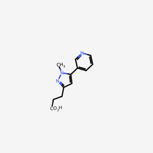 Cn1nc(CCC(=O)O)cc1-c1cccnc1